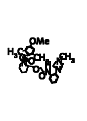 COc1cc(C)c(S(=O)(=O)N2CCCCC2COCC(=O)Nc2ccccc2N2CCN(C)CC2)c(C)c1